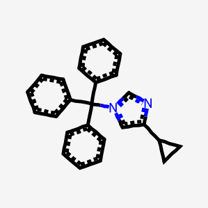 c1ccc(C(c2ccccc2)(c2ccccc2)n2cnc(C3CC3)c2)cc1